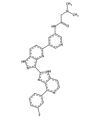 CN(C)CC(=O)Nc1cncc(-c2ccc3[nH]nc(-c4nc5c(-c6cccc(F)c6)nccc5[nH]4)c3n2)c1